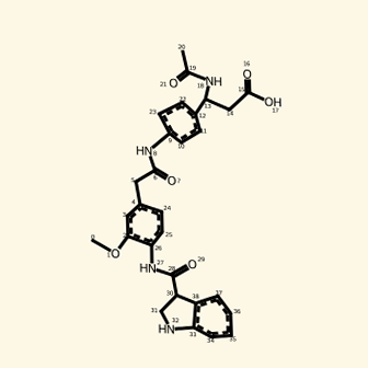 COc1cc(CC(=O)Nc2ccc(C(CC(=O)O)NC(C)=O)cc2)ccc1NC(=O)C1CNc2ccccc21